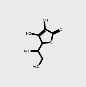 CC(=O)OCC(OC(C)=O)C1OC(=O)C(O)=C1O